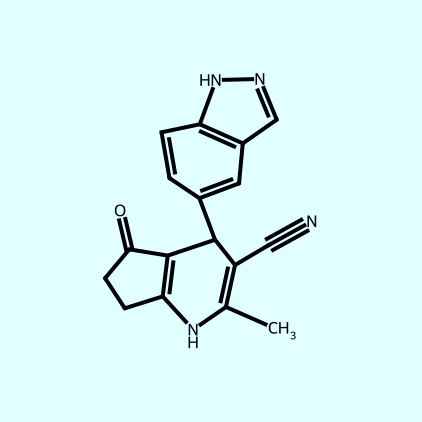 CC1=C(C#N)C(c2ccc3[nH]ncc3c2)C2=C(CCC2=O)N1